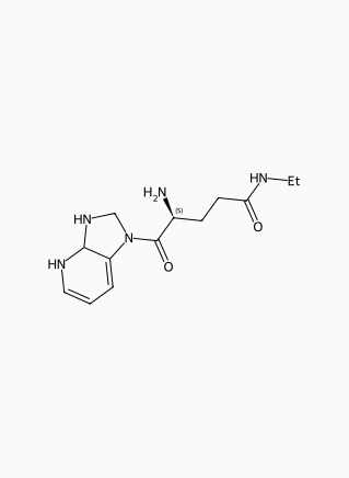 CCNC(=O)CC[C@H](N)C(=O)N1CNC2NC=CC=C21